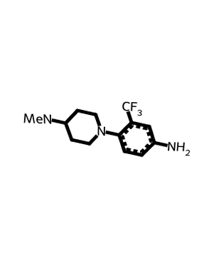 CNC1CCN(c2ccc(N)cc2C(F)(F)F)CC1